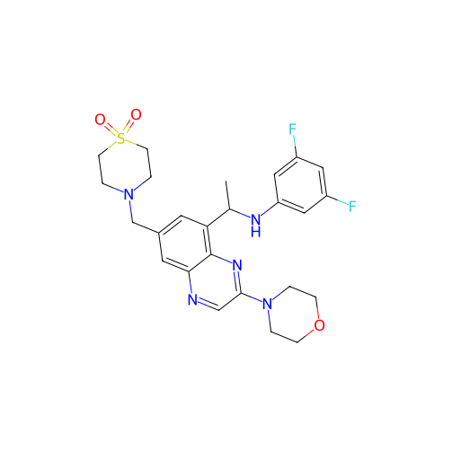 CC(Nc1cc(F)cc(F)c1)c1cc(CN2CCS(=O)(=O)CC2)cc2ncc(N3CCOCC3)nc12